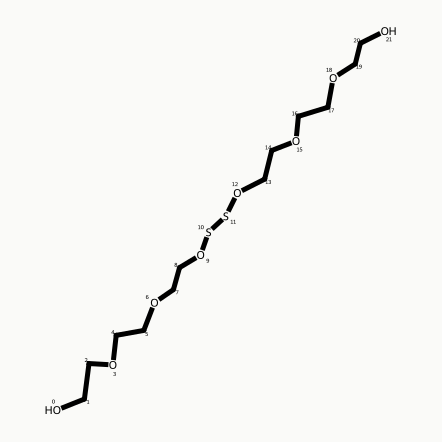 OCCOCCOCCOSSOCCOCCOCCO